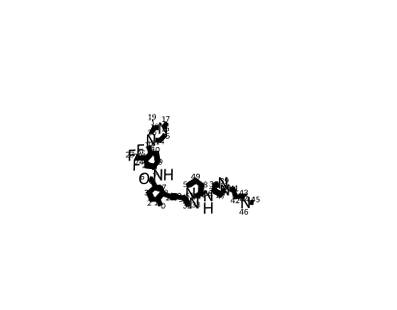 Cc1ccc(C(=O)Nc2ccc(CN3CCN(C)[C@@H](C)C3)c(C(F)(F)F)c2)cc1C#Cc1cnc2c(Nc3cnn(CCCN(C)C)c3)cccn12